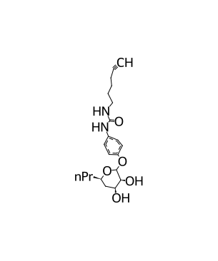 C#CCCCCNC(=O)Nc1ccc(OC2O[C@H](CCC)C[C@H](O)[C@@H]2O)cc1